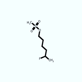 CC(F)CCCCOS(C)(=O)=O